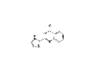 O=c1oc(-c2ncc[nH]2)nc2ccccc12